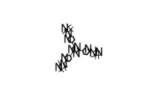 CC1=NC(C)(C)C(C)(C)N1c1ccc(-c2nc(-c3ccc(N4C(C)=NC(C)(C)C4(C)C)nc3)nc(-c3ccc(N4C(C)=NC(C)(C)C4(C)C)nc3)n2)cn1